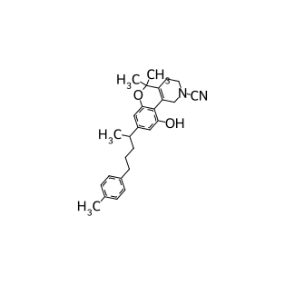 Cc1ccc(CCCC(C)c2cc(O)c3c(c2)OC(C)(C)C2=C3CN(C#N)CC2)cc1